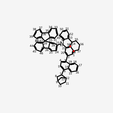 c1cc(-c2ccc(C3CC4CCC3C4)c3ccccc23)cc(N(c2ccc3c(c2)C2(c4ccccc4-c4ccccc42)c2ccccc2-3)c2ccccc2C2CCCCC2)c1